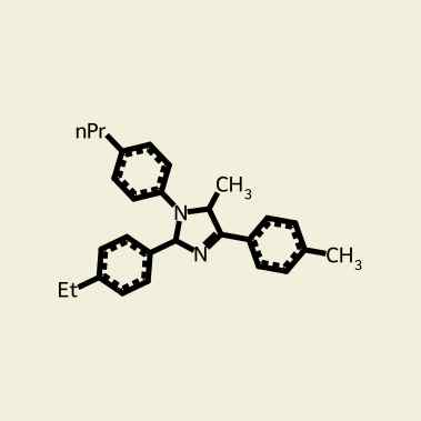 CCCc1ccc(N2C(C)C(c3ccc(C)cc3)=NC2c2ccc(CC)cc2)cc1